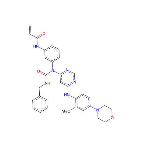 C=CC(=O)Nc1cccc(N(C(=O)NCc2ccccc2)c2cc(Nc3ccc(N4CCOCC4)cc3OC)ncn2)c1